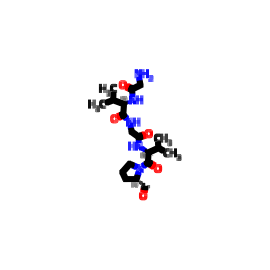 CC(C)[C@H](NC(=O)CN)C(=O)NCC(=O)N[C@H](C(=O)N1CCC[C@H]1[C]=O)C(C)C